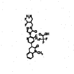 Cc1cc(C2Cc3ccccc3N(C)C2=O)cnc1-n1cnn(CC(CN)=C(F)F)c1=O.O=C(O)C(F)(F)F